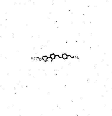 CCCC1CCC(CCc2ccc(-c3ccc(OCC)nn3)c(F)c2)CC1